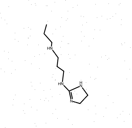 CCCNCCCNC1=NCCN1